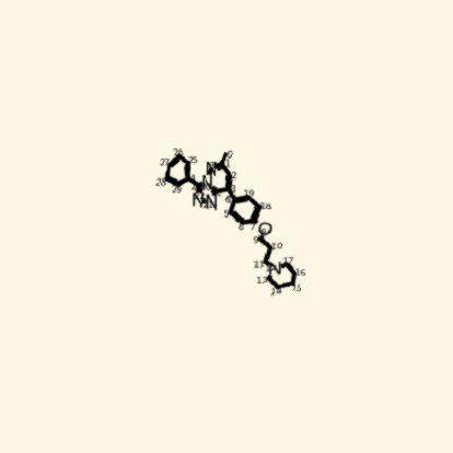 Cc1cc(-c2ccc(OCCCN3CCCCC3)cc2)c2nnc(-c3ccccc3)n2n1